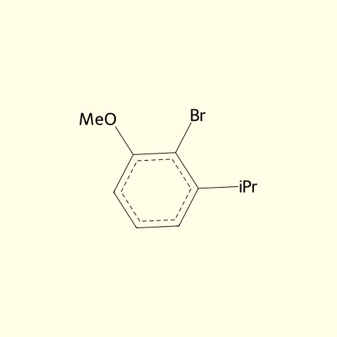 [CH2]C(C)c1cccc(OC)c1Br